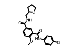 COc1ccc(C(=O)NCC2CCCO2)cc1C(=O)Nc1ccc(Cl)cc1